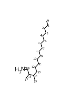 CCCCCCCCCCCCCCC(C)C(C)CN